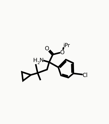 CC(C)OC(=O)C(N)(CC(C)(C)C1CC1)c1ccc(Cl)cc1